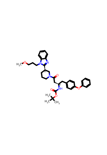 COCCCn1c([C@@H]2CCCN(C(=O)C[C@@H](Cc3ccc(Oc4ccccc4)cc3)NC(=O)OC(C)(C)C)C2)nc2ccccc21